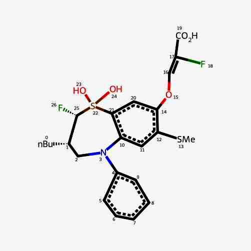 CCCC[C@H]1CN(c2ccccc2)c2cc(SC)c(O/C=C(\F)C(=O)O)cc2S(O)(O)[C@H]1F